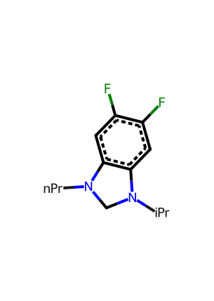 CCCN1CN(C(C)C)c2cc(F)c(F)cc21